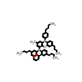 CCCCc1ccc(N(c2ccc(CCCC)cc2)c2cc(C)cc(N(c3cccc(CCCC)c3)c3ccc(CCCC)cc3-c3ccccc3)c2Cl)cc1